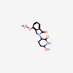 COc1cccc2c1CN(C1CCC(O)NC1=O)C2=O